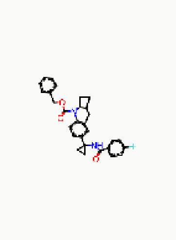 O=C(NC1(c2ccc3c(c2)CC2CCC2N3C(=O)OCc2ccccc2)CC1)c1ccc(F)cc1